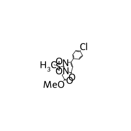 COC(=O)Cn1c(S(C)(=O)=O)nc(-c2ccc(Cl)cc2)cc1=O